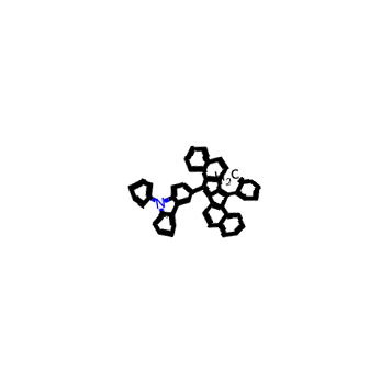 C=C1CC=CC=C1C1=C2C(=C(c3ccc4c(c3)c3ccccc3n4-c3ccccc3)c3c2ccc2ccccc32)c2ccc3ccccc3c21